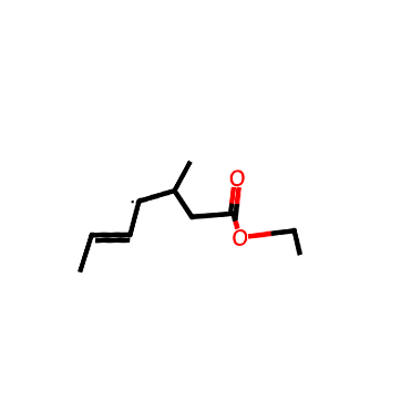 CC=C[CH]C(C)CC(=O)OCC